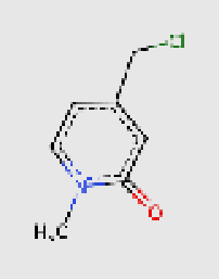 Cn1ccc(CCl)cc1=O